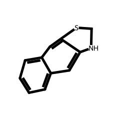 c1ccc2cc3c(cc2c1)NCS3